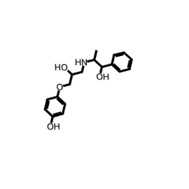 CC(NCC(O)COc1ccc(O)cc1)C(O)c1ccccc1